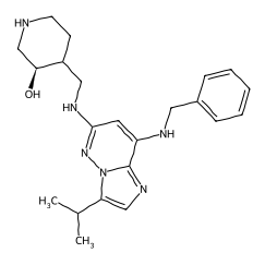 CC(C)c1cnc2c(NCc3ccccc3)cc(NCC3CCNC[C@@H]3O)nn12